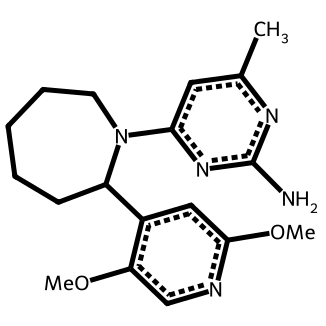 COc1cc(C2CCCCCN2c2cc(C)nc(N)n2)c(OC)cn1